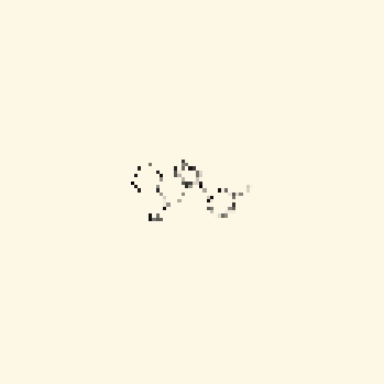 CN(Cc1nnnn1-c1cccc(F)c1)C1CCCCC1